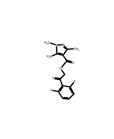 Cc1nn(C)c(N)c1C(=O)OCC(=O)c1c(F)cccc1F